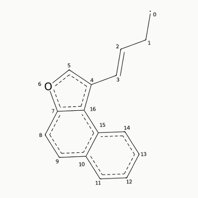 [CH2]CC=Cc1coc2ccc3ccccc3c12